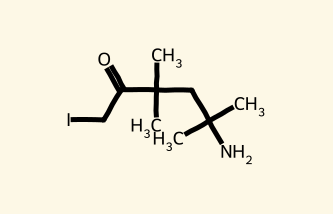 CC(C)(N)CC(C)(C)C(=O)CI